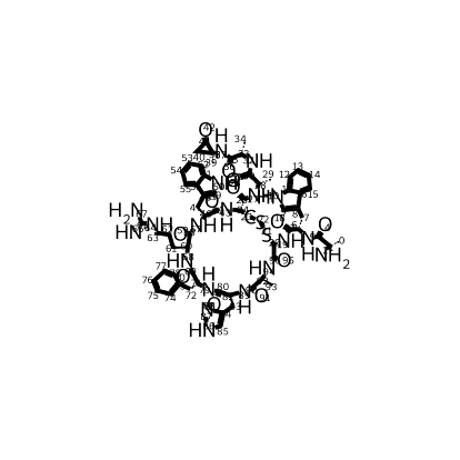 C[C@H](N)C(=O)N[C@@H](Cc1c[nH]c2ccccc12)C(=O)N[C@H]1SSC[C@@H](C(=O)N[C@@H](C)C(=O)N[C@@H](C)C(=O)N[C@@]2(C)CC2=O)NC(=O)[C@H](Cc2c[nH]c3ccccc23)NC(=O)[C@H](CCCNC(=N)N)NC(=O)[C@@H](Cc2ccccc2)NC(=O)[C@H](Cc2c[nH]cn2)NC(=O)[C@H](C)NC1=O